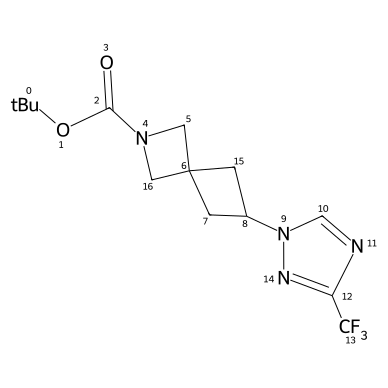 CC(C)(C)OC(=O)N1CC2(CC(n3cnc(C(F)(F)F)n3)C2)C1